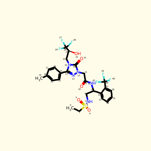 CCS(=O)(=O)NCC(NC(=O)Cn1nc(-c2ccc(C)cc2)n(C[C@H](O)C(F)(F)F)c1=O)c1ccccc1C(F)(F)F